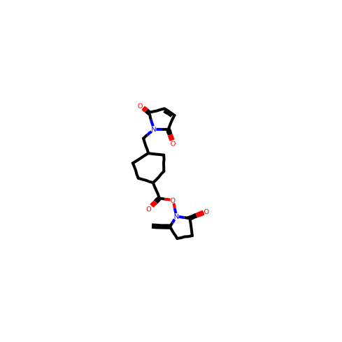 C=C1CCC(=O)N1OC(=O)C1CCC(CN2C(=O)C=CC2=O)CC1